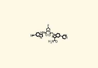 N#Cc1ccc2c(NC(=O)C3CC(F)CN3C(=O)Cn3nc(C(N)=O)c4cc(-c5ccnnc5)ccc43)cnn2c1